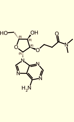 CN(C)C(=O)CCO[C@@H]1[C@H](O)[C@@H](CO)O[C@H]1n1cnc2c(N)ncnc21